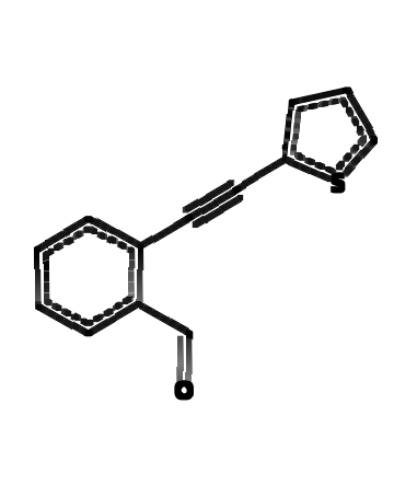 O=Cc1ccccc1C#Cc1cccs1